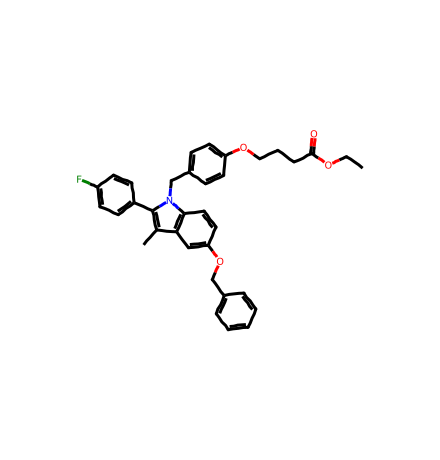 CCOC(=O)CCCOc1ccc(Cn2c(-c3ccc(F)cc3)c(C)c3cc(OCc4ccccc4)ccc32)cc1